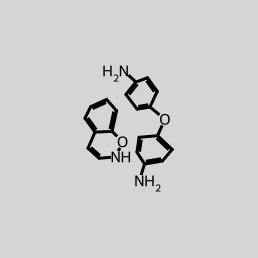 C1=Cc2ccccc2ON1.Nc1ccc(Oc2ccc(N)cc2)cc1